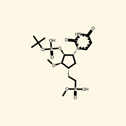 CO[C@@H]1[C@@H](CCP(=O)(O)OC)C[C@@H](n2ccc(=O)[nH]c2=O)[C@@H]1OP(=O)(O)OC(C)(C)C